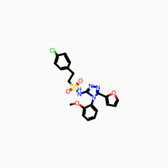 COc1ccccc1-n1c(NS(=O)(=O)CCc2ccc(Cl)cc2)nnc1-c1ccco1